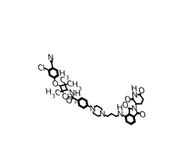 CC1(C)[C@H](NC(=O)c2ccc(N3CCN(CCCNc4cccc5c4C(=O)N(C4CCC(=O)NC4=O)C5=O)CC3)cc2)C(C)(C)[C@H]1Oc1ccc(C#N)c(Cl)c1